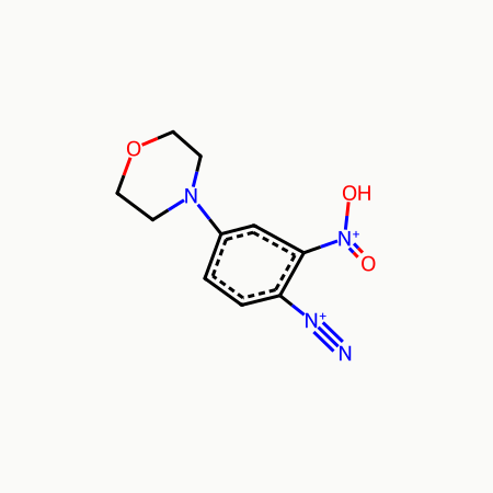 N#[N+]c1ccc(N2CCOCC2)cc1[N+](=O)O